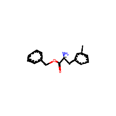 Cc1cccc(C[C@H](N)C(=O)OCc2ccccc2)c1